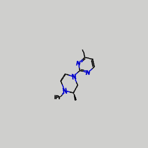 Cc1ccnc(N2CCN(C(C)C)[C@H](C)C2)n1